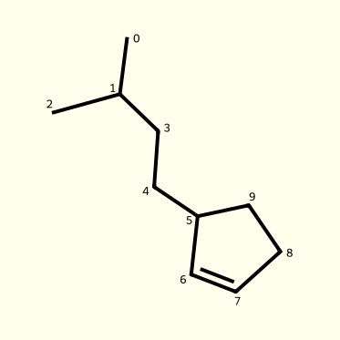 CC(C)CCC1C=CCC1